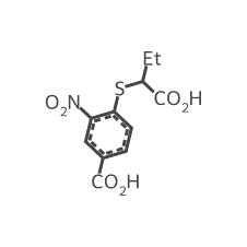 CCC(Sc1ccc(C(=O)O)cc1[N+](=O)[O-])C(=O)O